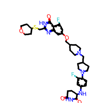 O=C1CCC(Nc2ccc(N3CCC(CN4CCC(COc5cc(F)c6c(=O)[nH]c(CSC7CCOCC7)nc6c5)CC4)CC3)c(F)c2)C(=O)N1